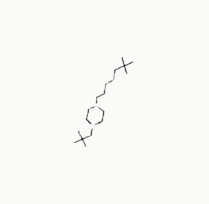 CC(C)(C)CCCCCN1CCN(CC(C)(C)C)CC1